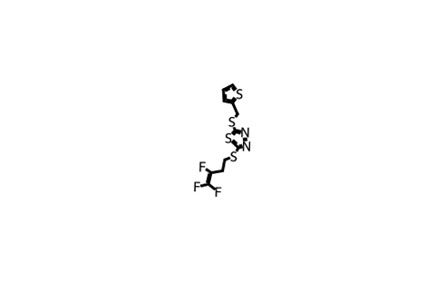 FC(F)=C(F)CCSc1nnc(SCc2cccs2)s1